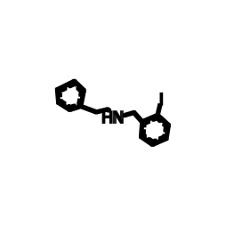 Ic1ccccc1CNCCc1ccccc1